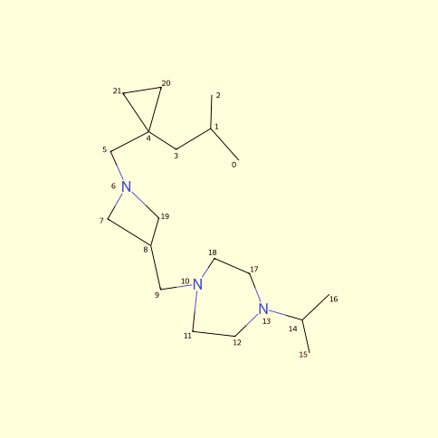 CC(C)CC1(CN2CC(CN3CCN(C(C)C)CC3)C2)CC1